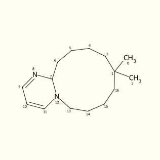 CC1(C)CCCCC2N=CC=CN2CCCC1